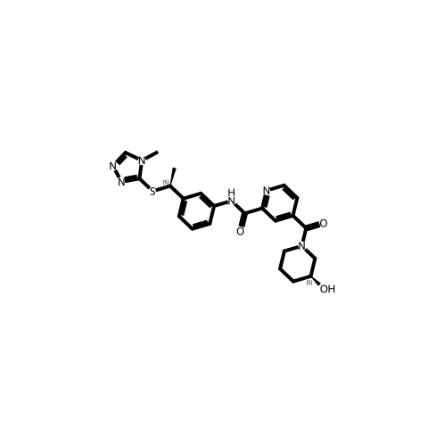 C[C@H](Sc1nncn1C)c1cccc(NC(=O)c2cc(C(=O)N3CCC[C@H](O)C3)ccn2)c1